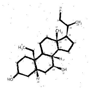 CC[C@]12CCC(O)C[C@H]1C[C@H](O)[C@@H]1C2CC[C@@]2(C)C1CC[C@@H]2C(C)CF